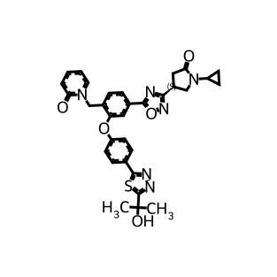 CC(C)(O)c1nnc(-c2ccc(Oc3cc(-c4nc([C@H]5CC(=O)N(C6CC6)C5)no4)ccc3Cn3ccccc3=O)cc2)s1